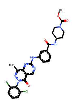 Cc1nn(-c2c(Cl)cccc2Cl)c(=O)c2cnc(Nc3cccc(C(=O)NC4CCN(C(=O)OC(C)(C)C)CC4)c3)nc12